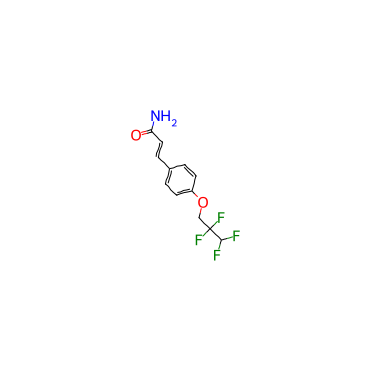 NC(=O)/C=C/c1ccc(OCC(F)(F)C(F)F)cc1